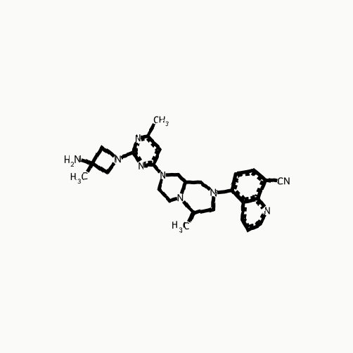 Cc1cc(N2CCN3C(C)CN(c4ccc(C#N)c5ncccc45)CC3C2)nc(N2CC(C)(N)C2)n1